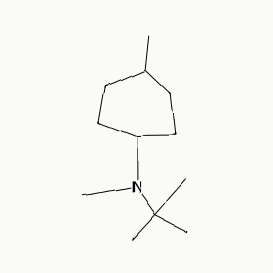 CC1CCC(N(C)C(C)(C)C)CC1